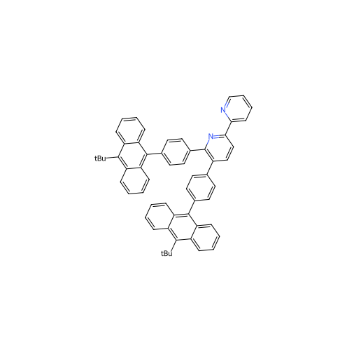 CC(C)(C)c1c2ccccc2c(-c2ccc(-c3ccc(-c4ccccn4)nc3-c3ccc(-c4c5ccccc5c(C(C)(C)C)c5ccccc45)cc3)cc2)c2ccccc12